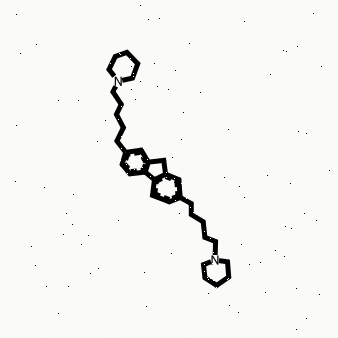 c1cc2c(cc1CCCCCN1CCCCC1)Cc1cc(CCCCCN3CCCCC3)ccc1-2